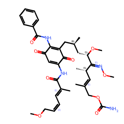 COC/C=C\C=C(/C)C(=O)NC1=CC(=O)C(NC(=O)c2ccccc2)=C(C[C@@H](C)C[C@H](OC)/C(=N/OC)[C@@H](C)/C=C(\C)COC(N)=O)C1=O